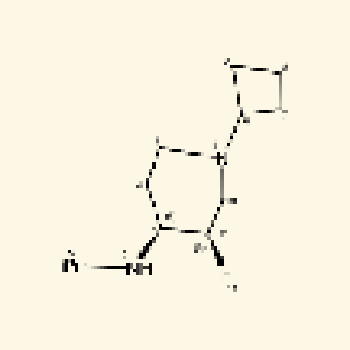 CC(C)N[C@H]1CCN(C2CCC2)C[C@H]1F